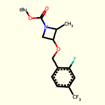 CC1C(OCc2ccc(C(F)(F)F)cc2F)CN1C(=O)OC(C)(C)C